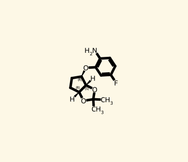 CC1(C)O[C@H]2[C@H](Oc3cc(F)ccc3N)CC[C@H]2O1